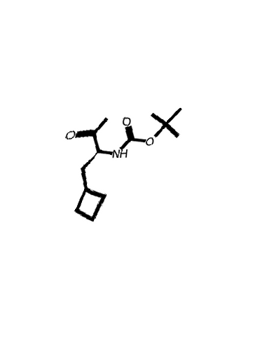 CC(=O)[C@H](CC1CCC1)NC(=O)OC(C)(C)C